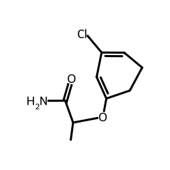 CC(OC1=CC(Cl)=CCC1)C(N)=O